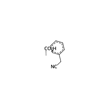 CC(=O)O.N#CCc1ccccc1